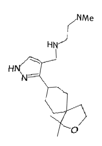 CNCCNCc1c[nH]nc1C1CCC2(CCOC2(C)C)CC1